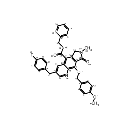 COc1ccc(COc2c3c(c(C(=O)NCc4ccccn4)c4cc(Cc5ccc(F)cc5)cnc24)CN(C)C3=O)cc1